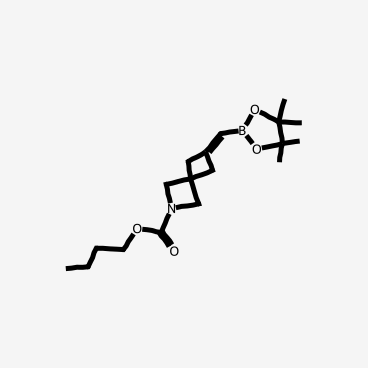 CCCCOC(=O)N1CC2(CC(=CB3OC(C)(C)C(C)(C)O3)C2)C1